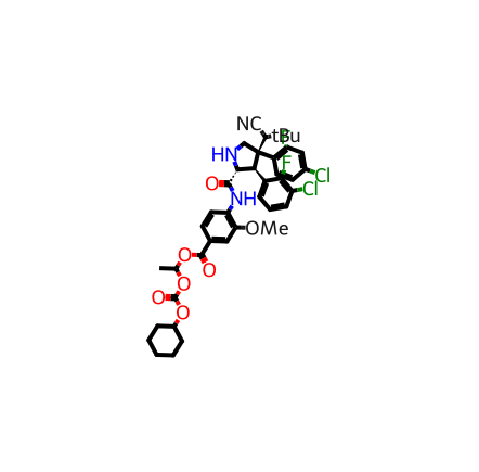 COc1cc(C(=O)OC(C)OC(=O)OC2CCCCC2)ccc1NC(=O)[C@@H]1NC[C@@](c2ccc(Cl)cc2F)(C(C#N)C(C)(C)C)[C@H]1c1cccc(Cl)c1F